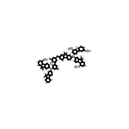 Cc1cc(N(c2ccc3c(c2)C(C)(C)c2ccccc2-3)c2ccc3c(c2)C(C)(C)c2cccc(C(C)(C)C)c2-3)c2oc3c(C)cc(Cc4ccc5c(c4)C(C)(C)c4cc(N(c6ccc7c(c6)C(C)(C)c6cccc(C(C)(C)C)c6-7)c6cc(C(C)(C)C)c7oc8ccc(C(C)(C)C)cc8c7c6)ccc4-5)cc3c2c1